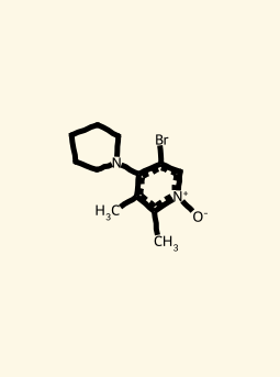 Cc1c(N2CCCCC2)c(Br)c[n+]([O-])c1C